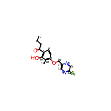 CCCC(=O)c1ccc(OCc2cnc(Br)cn2)c(C)c1O